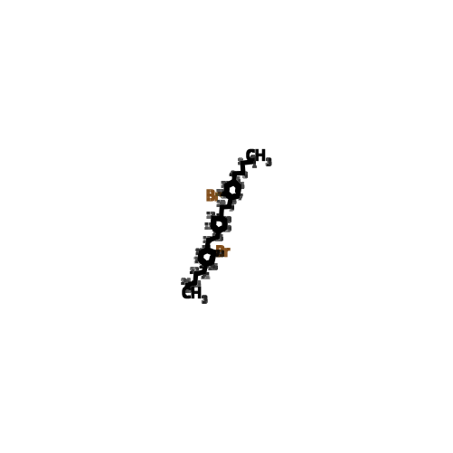 CCCCCc1ccc(CCc2ccc(CCc3ccc(CCCCC)cc3Br)cc2)c(Br)c1